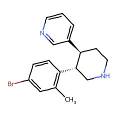 Cc1cc(Br)ccc1[C@H]1CNCC[C@@H]1c1cccnc1